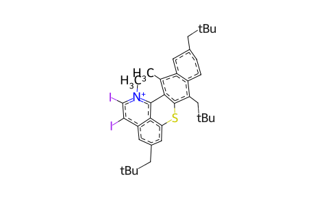 Cc1c2c(c(CC(C)(C)C)c3ccc(CC(C)(C)C)cc13)Sc1cc(CC(C)(C)C)cc3c(I)c(I)[n+](C)c-2c13